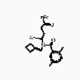 CCCC(=O)CCC(C(C)=O)N(C=C1CCC1)C(=O)c1cc(C)ccc1C